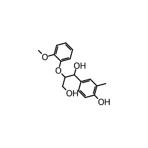 COc1ccccc1OC(CO)C(O)c1ccc(O)c(C)c1